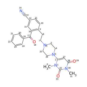 Cn1c(N2CCN(CCc3ccc(C#N)cc3C(=O)c3ccccc3)CC2)cc(=O)n(C)c1=O